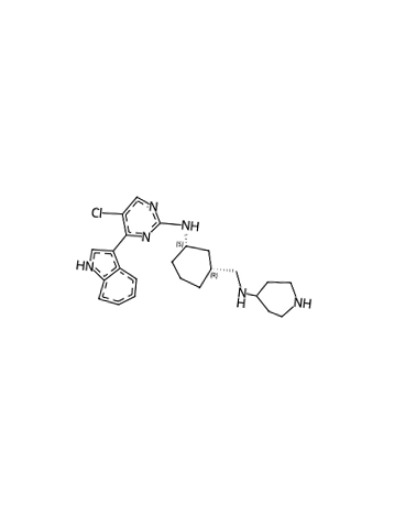 Clc1cnc(N[C@H]2CCC[C@@H](CNC3CCNCC3)C2)nc1-c1c[nH]c2ccccc12